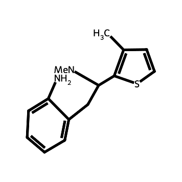 CNC(Cc1ccccc1N)c1sccc1C